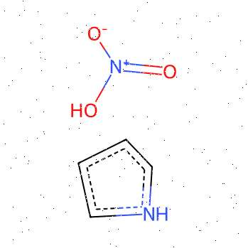 O=[N+]([O-])O.c1cc[nH]c1